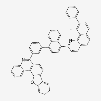 Cc1c(-c2ccccc2)ccc2ccc3ccc(-c4ccc(-c5cccc(-c6nc7ccccc7c7c6ccc6c8c(oc67)=CCCC=8)c5)c5ccccc45)nc3c12